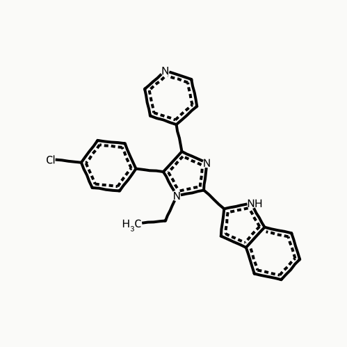 CCn1c(-c2cc3ccccc3[nH]2)nc(-c2ccncc2)c1-c1ccc(Cl)cc1